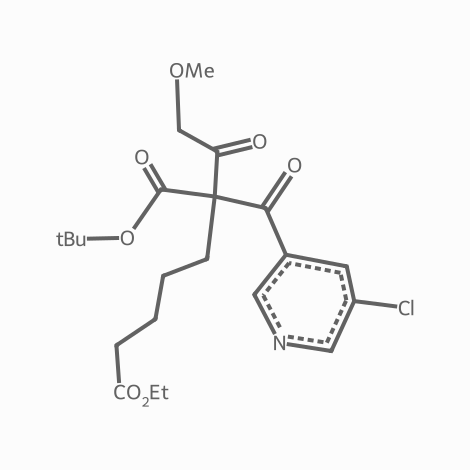 CCOC(=O)CCCCC(C(=O)COC)(C(=O)OC(C)(C)C)C(=O)c1cncc(Cl)c1